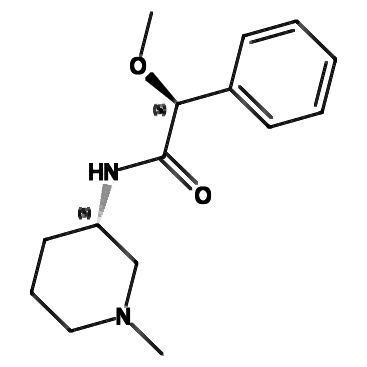 CO[C@H](C(=O)N[C@H]1CCCN(C)C1)c1ccccc1